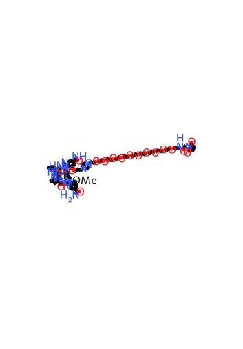 CCn1nc(C)cc1C(=O)NC1=NC2C=C(C(N)=O)C=C(OCCCN3CCN(CCOCCOCCOCCOCCOCCOCCOCCOCCOCCOCCNC(=O)CN4C(=O)C=CC4=O)CC3)C2N1C/C=C/Cn1c(NC(=O)c2cc(C)nn2CC)nc2cc(C(N)=O)cc(OC)c21